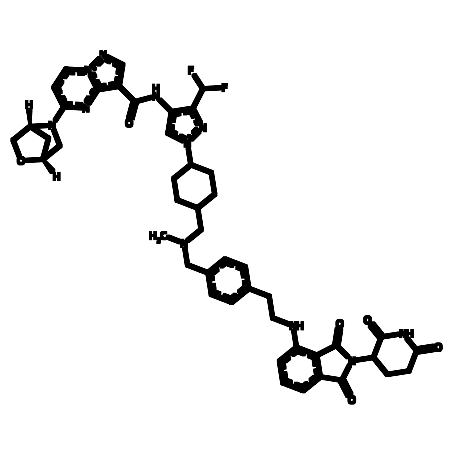 CN(Cc1ccc(CCNc2cccc3c2C(=O)N(C2CCC(=O)NC2=O)C3=O)cc1)CC1CCC(n2cc(NC(=O)c3cnn4ccc(N5C[C@H]6C[C@@H]5CO6)nc34)c(C(F)F)n2)CC1